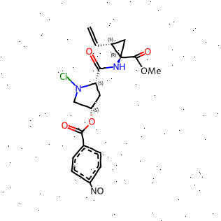 C=C[C@@H]1C[C@]1(NC(=O)[C@@H]1C[C@H](OC(=O)c2ccc(N=O)cc2)CN1Cl)C(=O)OC